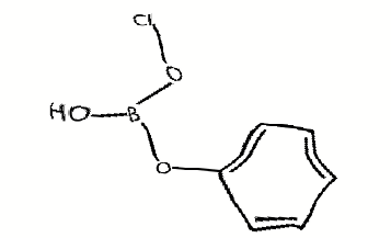 OB(OCl)Oc1ccccc1